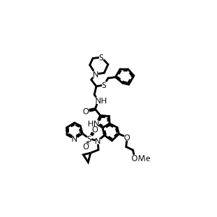 COCCOc1cc(N(CC2CC2)S(=O)(=O)c2ccccn2)c2[nH]c(C(=O)NCC(CN3CCSCC3)SCc3ccccc3)cc2c1